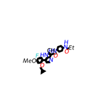 CCC(=O)N[C@H]1CC[C@@H](NC(=O)c2c(C)[nH]c3c(-c4cc(F)c(OC)cc4OCC4CC4)ccnc23)CC1